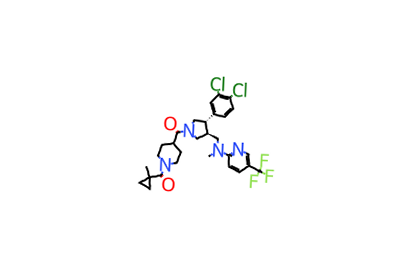 CN(C[C@H]1CN(C(=O)C2CCN(C(=O)C3(C)CC3)CC2)C[C@@H]1c1ccc(Cl)c(Cl)c1)c1ccc(C(F)(F)F)cn1